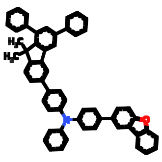 CC1(C)c2ccc(-c3ccc(N(c4ccccc4)c4ccc(-c5ccc6oc7ccccc7c6c5)cc4)cc3)cc2-c2cc(-c3ccccc3)cc(-c3ccccc3)c21